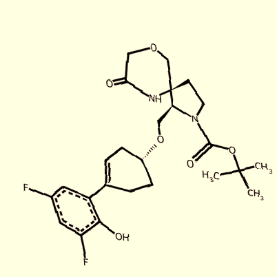 CC(C)(C)OC(=O)N1CC[C@@]2(COCC(=O)N2)[C@@H]1CO[C@H]1CC=C(c2cc(F)cc(F)c2O)CC1